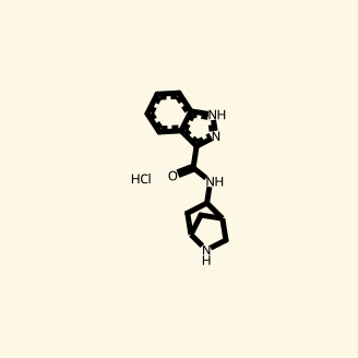 Cl.O=C(NC1CC2CC1CN2)c1n[nH]c2ccccc12